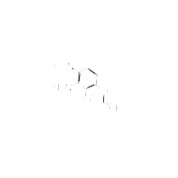 Nc1c([N+](=O)[O-])ccc(OCC(F)(F)F)c1C(=O)O